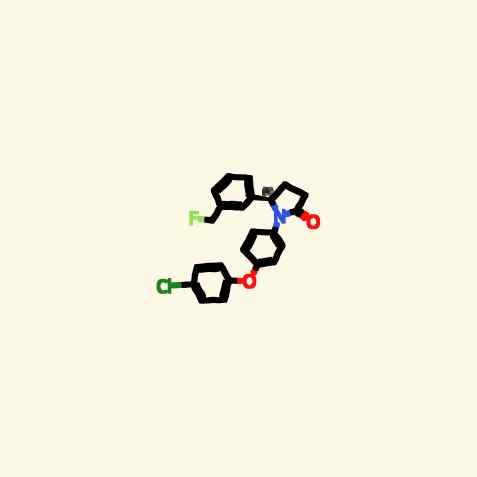 O=C1CC[C@H](c2cccc(CF)c2)N1c1ccc(Oc2ccc(Cl)cc2)cc1